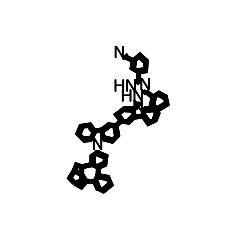 N#Cc1cccc(C(=N)/N=C(\Nn2c3ccccc3c3cc(-c4ccc5c(c4)c4ccccc4n5-c4ccc5c(c4)C4CC6CC7CC(c8ccccc8-5)C64C7)ccc32)c2ccccc2)c1